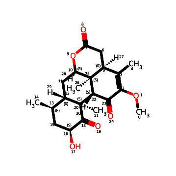 COC1=C(C)[C@@H]2CC(=O)O[C@@H]3C[C@H]4[C@H](C)C[C@H](O)C(=O)[C@]4(C)[C@@H](C1=O)[C@@]32C